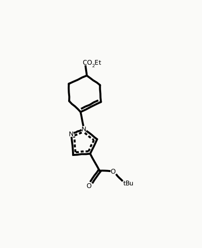 CCOC(=O)C1CC=C(n2cc(C(=O)OC(C)(C)C)cn2)CC1